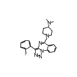 CN(C)C1CCN(c2nc3c(-c4ccccc4F)nnn3c3ccccc23)CC1